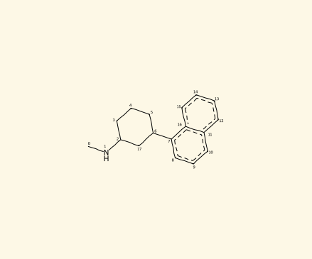 CNC1CCCC(c2cccc3ccccc23)C1